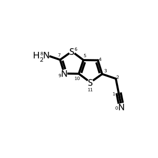 N#CCc1cc2sc(N)nc2s1